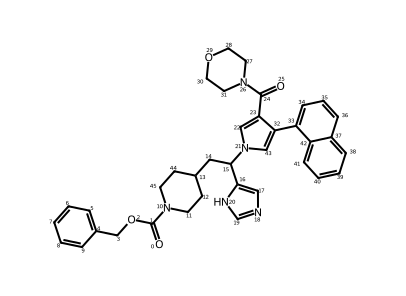 O=C(OCc1ccccc1)N1CCC(CC(c2cnc[nH]2)n2cc(C(=O)N3CCOCC3)c(-c3cccc4ccccc34)c2)CC1